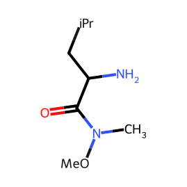 CON(C)C(=O)C(N)CC(C)C